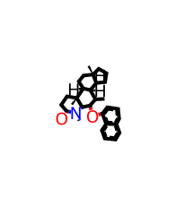 CC1C(Oc2cccc3ccccc23)C2N(C)C(=O)CC[C@]2(C)[C@@H]2CC[C@]3(C)CCC[C@H]3[C@H]12